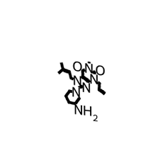 C=CCn1c(=O)n(C)c(=O)c2c1nc(N1CCCC(N)C1)n2CC=C(C)C